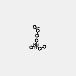 C[Si]1(C)c2ccccc2-c2cc(-c3ccc(-c4ccc(-c5nc(-c6ccccc6)nc(-c6cccc(-c7ccccc7)c6)n5)cc4)cc3)ccc21